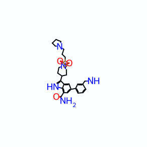 CNCc1cccc(-c2cc(C(N)=O)c3[nH]cc(C4CCN(S(=O)(=O)CCCN5CCCC5)CC4)c3c2)c1